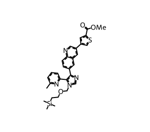 COC(=O)c1cc(-c2cnc3ccc(-c4ncn(COCC[Si](C)(C)C)c4-c4cccc(C)n4)cc3c2)cs1